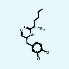 CCCC[C@H](N)C(=O)N[C@H]([C]=O)Cc1ccc(Cl)c(Cl)c1